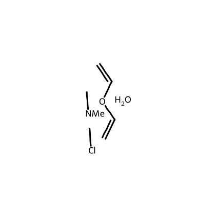 C=COC=C.CCl.CNC.O